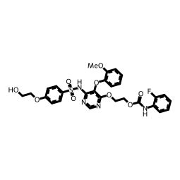 COc1ccccc1Oc1c(NS(=O)(=O)c2ccc(OCCO)cc2)ncnc1OCCOC(=O)Nc1ccccc1F